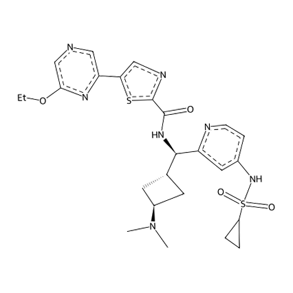 CCOc1cncc(-c2cnc(C(=O)N[C@@H](c3cc(NS(=O)(=O)C4CC4)ccn3)[C@H]3C[C@H](N(C)C)C3)s2)n1